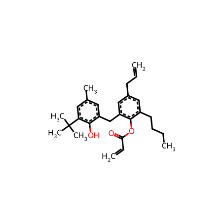 C=CCc1cc(CCCC)c(OC(=O)C=C)c(Cc2cc(C)cc(C(C)(C)C)c2O)c1